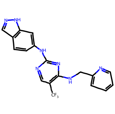 FC(F)(F)c1cnc(Nc2ccc3cn[nH]c3c2)nc1NCc1ccccn1